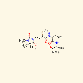 CNC(=O)[C@@H](NC(=O)[C@H](CC(C)C)NC(=O)C(CCN1C(=O)N(C)C(C)(C)C1=O)SC(C)=O)C(C)(C)C